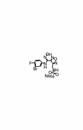 CNS(=O)(=O)NCc1nonc1/C(=N\O)Nc1ccc(F)c(Br)c1